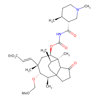 CCOC(=O)/C=C/[C@]1(C)C[C@@H](OC(=O)NC(=O)[C@H]2CN(C)CC[C@@H]2C)[C@@]2(C)C3C(=O)CCC3(CC[C@H]2C)[C@@H](C)[C@@H]1OCOC